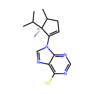 CC(C)[C@]1(C)C(n2cnc3c(S)ncnc32)=CCC1C